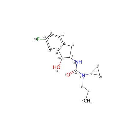 CCCN(C(=O)NC1Cc2ccc(F)cc2C1O)C1CC1